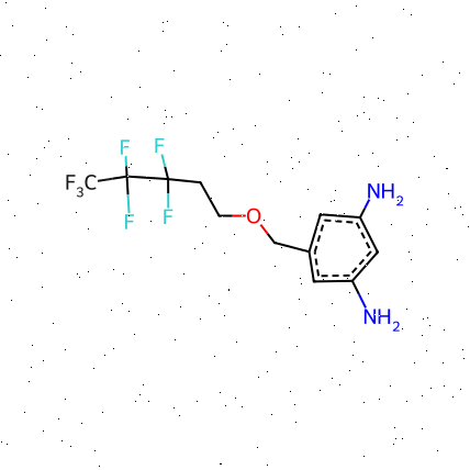 Nc1cc(N)cc(COCCC(F)(F)C(F)(F)C(F)(F)F)c1